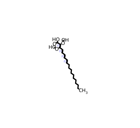 CCCCCCCCCCC/C=C/C=C/C=C/C(OO)=C(\OO)C(=O)O